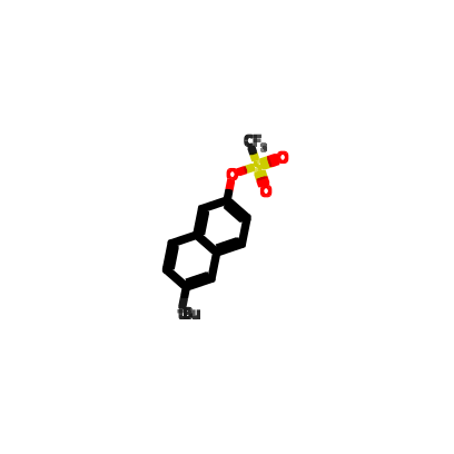 CC(C)(C)c1ccc2cc(OS(=O)(=O)C(F)(F)F)ccc2c1